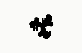 C=C(C)C(=O)OCCNC(=O)OC(COc1ccc(C(c2ccc(OCC(CSc3ccccc3)OC(=O)NCCOC(=O)C(=C)C)cc2)c2ccc(OCC(CSc3ccccc3)OC(=O)NCCOC(=O)C(=C)C)cc2)cc1)CSc1ccccc1